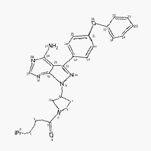 CC(C)CCC(=O)N1CCC(n2nc(-c3ccc(Oc4ccccc4)cc3)c3c(N)ncnc32)C1